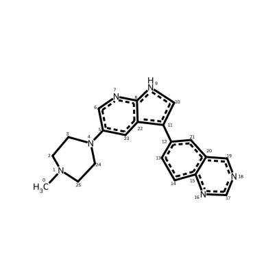 CN1CCN(c2cnc3[nH]cc(-c4ccc5ncncc5c4)c3c2)CC1